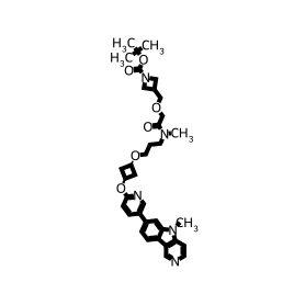 CN(CCCO[C@H]1C[C@H](Oc2ccc(-c3ccc4c5cnccc5n(C)c4c3)cn2)C1)C(=O)COCC1CN(C(=O)OC(C)(C)C)C1